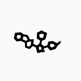 Fc1ccc(-c2[nH]cc(C3=CC4Cc5ccccc5N4CC3)c2-c2ccncc2)cc1